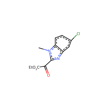 CCOC(=O)C(=O)c1nc2cc(Cl)ccc2n1C